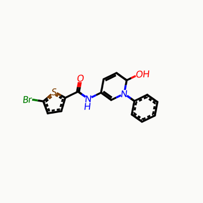 O=C(NC1=CN(c2ccccc2)C(O)C=C1)c1ccc(Br)s1